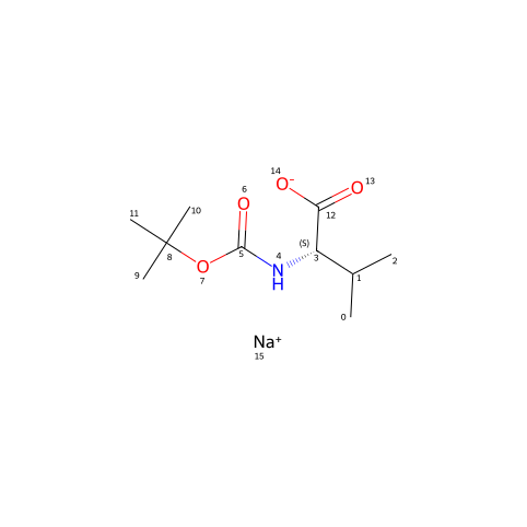 CC(C)[C@H](NC(=O)OC(C)(C)C)C(=O)[O-].[Na+]